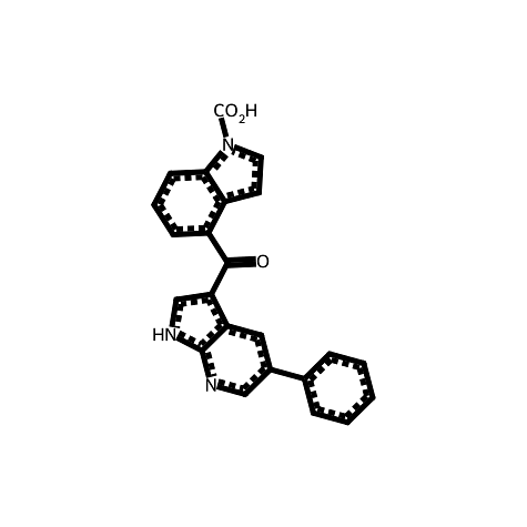 O=C(c1c[nH]c2ncc(-c3ccccc3)cc12)c1cccc2c1ccn2C(=O)O